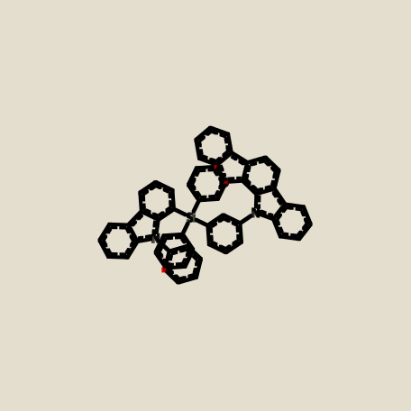 c1ccc(-n2c3ccccc3c3cccc([Si](c4ccccc4)(c4ccccc4)c4cccc(-n5c6ccccc6c6ccc7c8ccccc8oc7c65)c4)c32)cc1